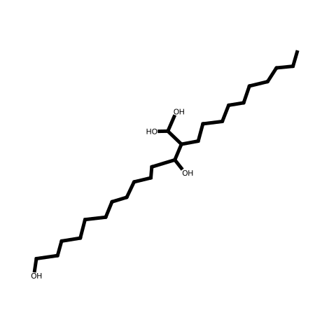 CCCCCCCCCCC(C(O)O)C(O)CCCCCCCCCCCO